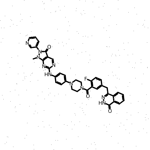 Cn1c2nc(Nc3ccc(N4CCN(C(=O)c5cc(Cc6n[nH]c(=O)c7ccccc67)ccc5F)CC4)cc3)ncc2c(=O)n1-c1cccnc1